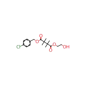 CC(C)(C(=O)OCCO)C(C)(C)C(=O)OCc1ccc(Cl)cc1